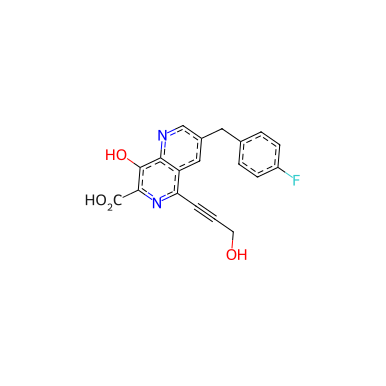 O=C(O)c1nc(C#CCO)c2cc(Cc3ccc(F)cc3)cnc2c1O